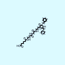 O=C(O)CCCCC(=O)OCNCC(=O)NCC(=O)NCCCCC(=O)[C@H](CCc1ccccc1)NC(=O)CN1CCOCC1